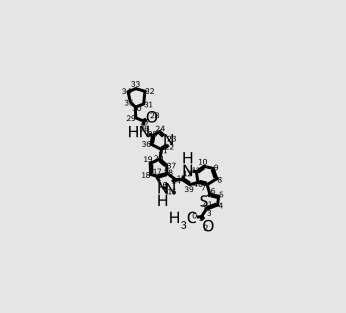 CC(=O)c1ccc(-c2cccc3[nH]c(-c4n[nH]c5ccc(-c6cncc(NC(=O)CC7CCCCC7)c6)cc45)cc23)s1